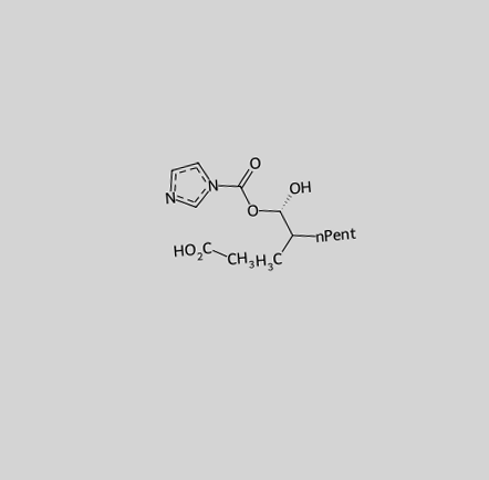 CC(=O)O.CCCCCC(C)[C@@H](O)OC(=O)n1ccnc1